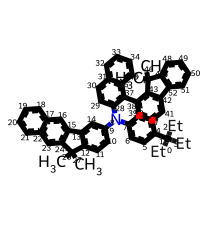 CCC(CC)(CC)c1ccc(N(c2ccc3c(c2)-c2cc4ccccc4cc2C3(C)C)c2ccc3ccccc3c2-c2cccc3c2C(C)(C)c2ccccc2-3)cc1